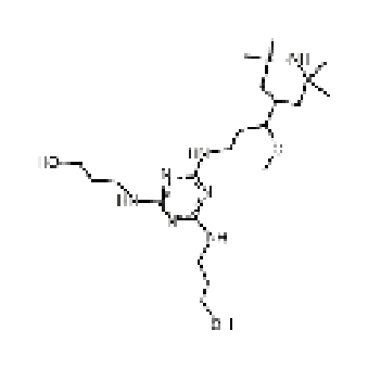 COC(CCNc1nc(NCCCO)nc(NCCCO)n1)C1CC(C)(C)NC(C)(C)C1